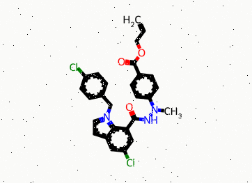 C=CCOC(=O)c1ccc(N(C)NC(=O)c2cc(Cl)cc3ccn(Cc4ccc(Cl)cc4)c23)cc1